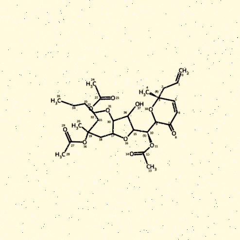 C=CC[C@]1(C)C=CC(=O)C([C@@H](OC(C)=O)C2OC(CC(C)(COC(C)=O)OC(C)=O)C(OCCCC)C2O)O1